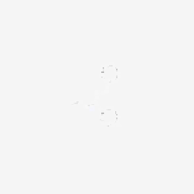 C=C/C=C(\SCc1ccccc1)c1ccc(C)cc1